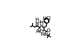 CC(C)C[C@H](N)C(=O)NC(Cc1ccccc1)C(O)C(=O)NC(C)(C)C.Cl